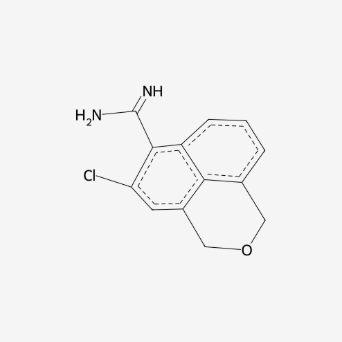 N=C(N)c1c(Cl)cc2c3c(cccc13)COC2